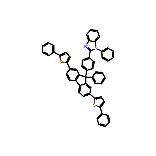 c1ccc(-c2ccc(-c3ccc4c(c3)C(c3ccccc3)(c3ccc(-c5nc6ccccc6n5-c5ccccc5)cc3)c3cc(-c5ccc(-c6ccccc6)s5)ccc3-4)s2)cc1